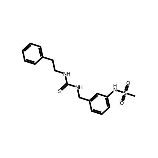 CS(=O)(=O)Nc1cccc(CNC(=S)NCCc2ccccc2)c1